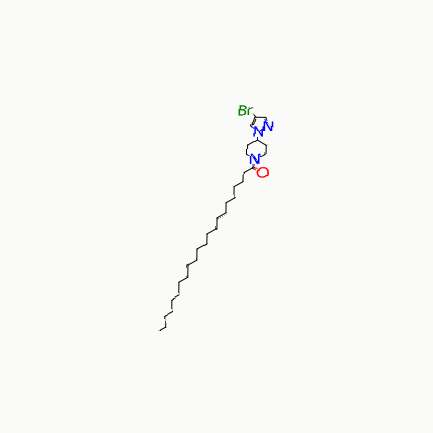 CCCCCCCCCCCCCCCCCCCCCC(=O)N1CCC(n2cc(Br)cn2)CC1